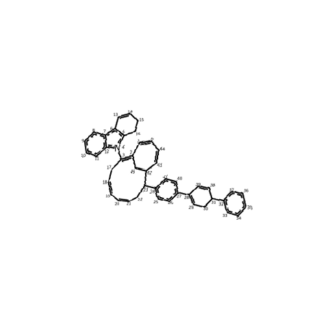 C1=C/C2=C(\n3c4c(c5ccccc53)C=CCC4)C/C=C\C=C/CC(c3ccc(C4=CCC(c5ccccc5)C=C4)cc3)C(C=C1)C2